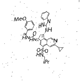 COc1cccc([C@@H](C)NC(=O)N[C@H]2C[C@H](Nc3nc4ccccc4[nH]3)c3c2cc(S(=O)(=O)NCC(C)C)c2cc(C4CC4)ncc32)c1